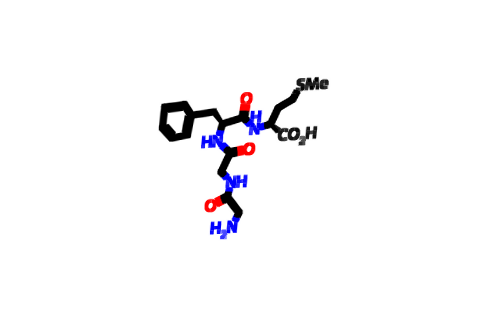 CSCC[C@H](NC(=O)[C@H](Cc1ccccc1)NC(=O)CNC(=O)CN)C(=O)O